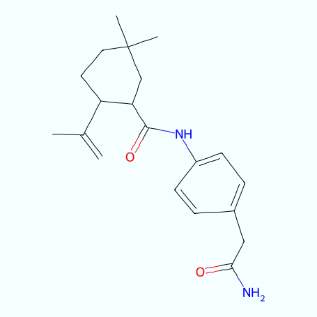 C=C(C)C1CCC(C)(C)CC1C(=O)Nc1ccc(CC(N)=O)cc1